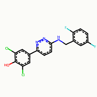 Oc1c(Cl)cc(-c2ccc(NCc3cc(F)ccc3F)nn2)cc1Cl